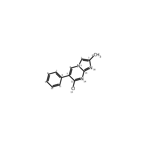 Cc1cn2cc(-c3ccccc3)c(Cl)nc2n1